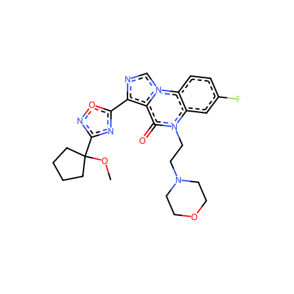 COC1(c2noc(-c3ncn4c3c(=O)n(CCN3CCOCC3)c3cc(F)ccc34)n2)CCCC1